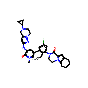 CC(=O)OCc1c(-c2cc(Nc3cc4n(n3)CCN(C3CC3)C4)c(=O)n(C)c2)cc(F)cc1N1CCn2c(cc3c2CCCC3)C1=O